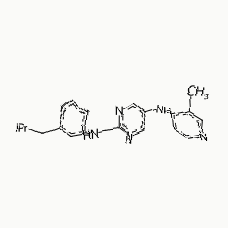 Cc1cnccc1Nc1cnc(Nc2cccc(CC(C)C)c2)nc1